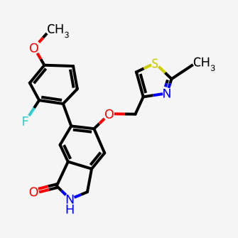 COc1ccc(-c2cc3c(cc2OCc2csc(C)n2)CNC3=O)c(F)c1